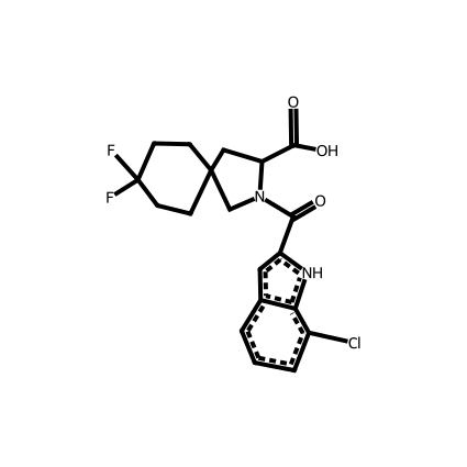 O=C(O)C1CC2(CCC(F)(F)CC2)CN1C(=O)c1cc2cccc(Cl)c2[nH]1